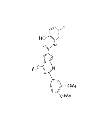 COc1ccc(-c2cc(C(F)(F)F)n3nc(C(=O)Nc4cc(Cl)ccc4O)cc3n2)cc1OC